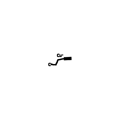 C#CCC[CH2-].[Cu+]